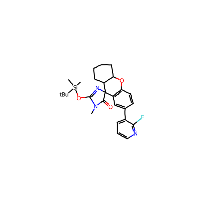 CN1C(=O)C2(N=C1O[Si](C)(C)C(C)(C)C)c1cc(-c3cccnc3F)ccc1OC1CCCCC12